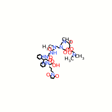 CCN(C)CC(=O)OC1CC(=O)CN(C)CCN(CCN(CC)CC(=O)NCC(=O)N[C@H](C(=O)N[C@@H](CCCCN2C(=O)C=CC2=O)C(=O)O)C(c2ccccc2)c2ccccc2)CC(=O)O1